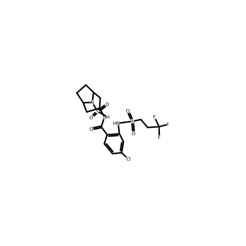 CS(=O)(=O)N1C2CCC1CC(NC(=O)c1ccc(Cl)cc1NS(=O)(=O)CCC(F)(F)F)C2